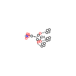 C=C/C=C(/OCCCCc1ccc2ccc3cccc4ccc1c2c34)c1cc([C@@H](C#Cc2ccc(C(=O)ON3C(=O)CCC3=O)cc2)c2ccc(OCCCCc3ccc4ccc5cccc6ccc3c4c56)cc2)ccc1OCCCCc1ccc2ccc3cccc4ccc1c2c34